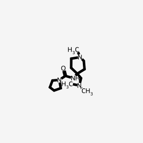 CN(C)CC1(NC(=O)N2CCCC2)CCN(C)CC1